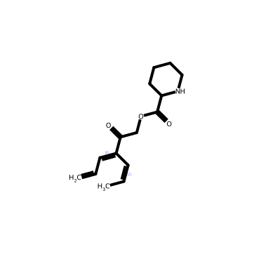 C=C/C=C(\C=C/C)C(=O)COC(=O)C1CCCCN1